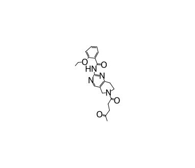 CCOc1ccccc1C(=O)Nc1ncc2c(n1)CCN(C(=O)CCC(C)=O)C2